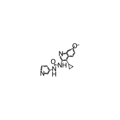 COc1ccc2c(C3CC3)c(NC(=O)Nc3cccnc3)cnc2c1